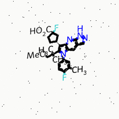 COCC(C)(C)c1c([C@@H]2CC[C@@](F)(C(=O)O)C2)c2nc3[nH]ncc3cc2n1-c1ccc(F)c(C)c1